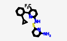 Nc1cccc(SNc2ccc(C(F)(F)F)c(-c3ccccc3C3CC3)n2)n1